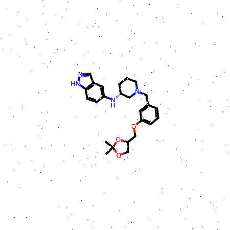 CC1(C)OCC(COc2cccc(CN3CCC[C@@H](Nc4ccc5[nH]ncc5c4)C3)c2)O1